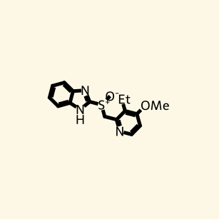 CCc1c(OC)ccnc1C[S+]([O-])c1nc2ccccc2[nH]1